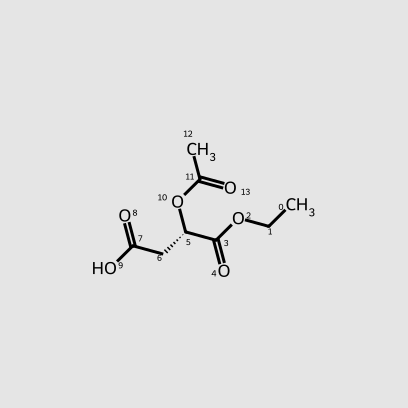 CCOC(=O)[C@H](CC(=O)O)OC(C)=O